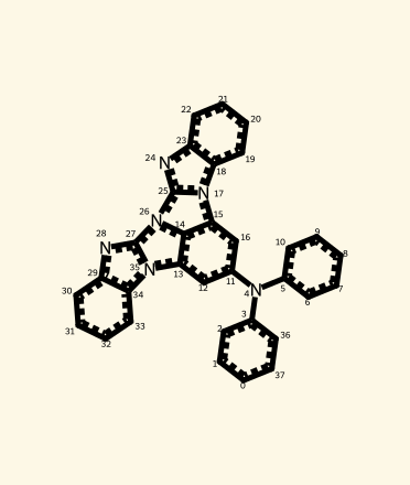 c1ccc(N(c2ccccc2)c2cc3c4c(c2)n2c5ccccc5nc2n4c2nc4ccccc4n32)cc1